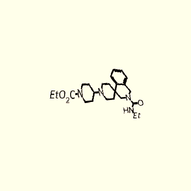 CCNC(=O)N1Cc2ccccc2C2(CCN(C3CCN(C(=O)OCC)CC3)CC2)C1